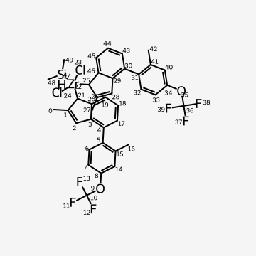 CC1=Cc2c(-c3ccc(OC(F)(F)F)cc3C)cccc2[CH]1[Zr]([Cl])([Cl])([CH]1C(C)=Cc2c(-c3ccc(OC(F)(F)F)cc3C)cccc21)[SiH](C)C